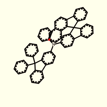 c1ccc(N(c2ccc3c(c2)C(c2ccccc2)(c2ccccc2)c2ccccc2-3)c2ccc3c(c2)C2(c4ccccc4-3)c3ccccc3-c3ccc4ccccc4c32)cc1